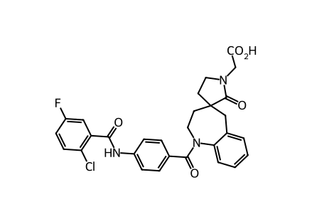 O=C(O)CN1CCC2(CCN(C(=O)c3ccc(NC(=O)c4cc(F)ccc4Cl)cc3)c3ccccc3C2)C1=O